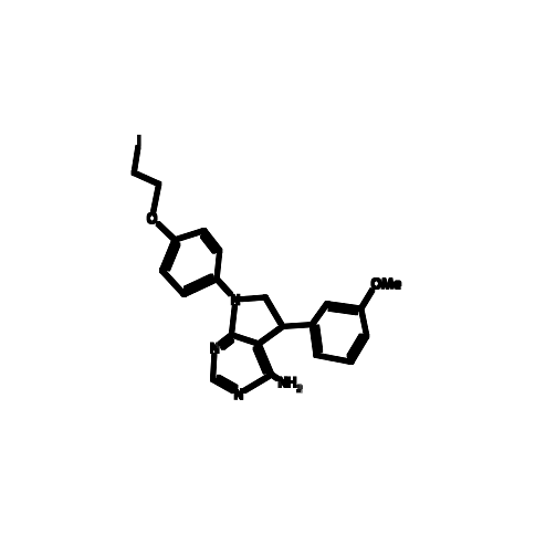 COc1cccc(C2CN(c3ccc(OCCI)cc3)c3ncnc(N)c32)c1